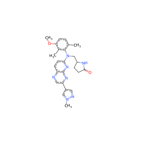 COc1ccc(C)c(N(CC2CCC(=O)N2)c2ccc3ncc(-c4cnn(C)c4)nc3n2)c1C